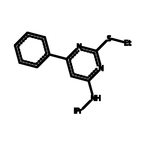 CCSc1nc(NC(C)C)cc(-c2ccccc2)n1